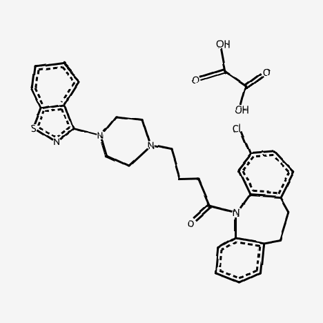 O=C(CCCN1CCN(c2nsc3ccccc23)CC1)N1c2ccccc2CCc2ccc(Cl)cc21.O=C(O)C(=O)O